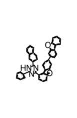 c1ccc(C2=NC(c3cccc4oc5cc(-c6ccc7c(c6)oc6ccccc67)ccc5c34)=NC(c3ccc4ccccc4c3)N2)cc1